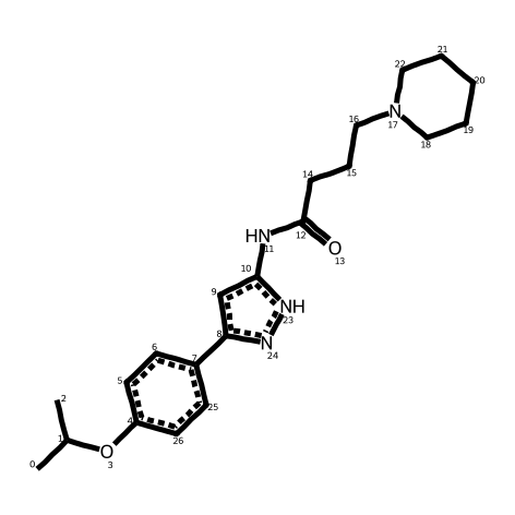 CC(C)Oc1ccc(-c2cc(NC(=O)CCCN3CCCCC3)[nH]n2)cc1